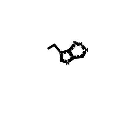 CCn1cnc2cnnnc21